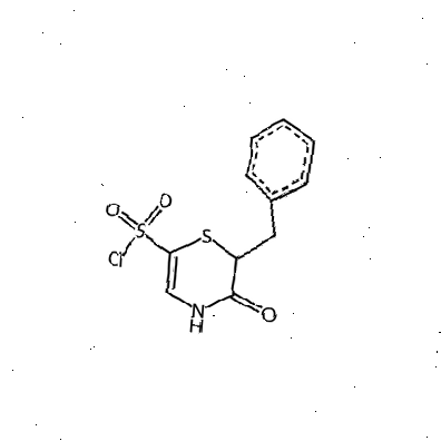 O=C1NC=C(S(=O)(=O)Cl)SC1Cc1ccccc1